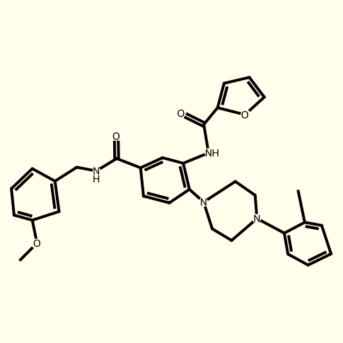 COc1cccc(CNC(=O)c2ccc(N3CCN(c4ccccc4C)CC3)c(NC(=O)c3ccco3)c2)c1